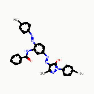 CCCCc1ccc(-n2nc(C(C)(C)C)c(N=Nc3ccc(N=Nc4ccc(C#N)cc4)c(NC(=O)c4ccccc4)c3)c2O)cc1